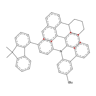 CC(C)(C)c1ccc(N(c2ccc(-c3cccc4c3-c3ccccc3C4(C)C)cc2)c2ccccc2-c2cccc3cccc(C4CCCCC4)c23)c(-c2ccccc2)c1